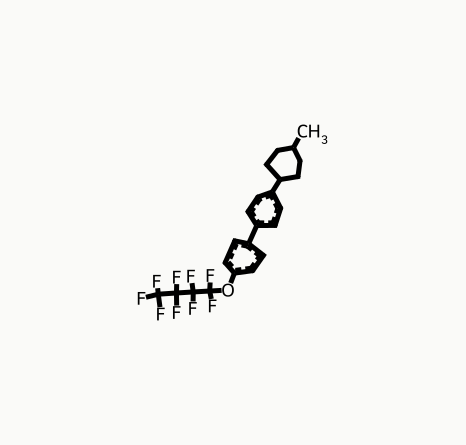 CC1CCC(c2ccc(-c3ccc(OC(F)(F)C(F)(F)C(F)(F)C(F)(F)F)cc3)cc2)CC1